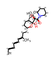 C\C(=C/C=C/C=C/C(C)C)CC[C@@H]1CC[C@@H](C)[C@](O)(C(=O)C(=O)N2CCCC[C@H]2C(=O)O)O1